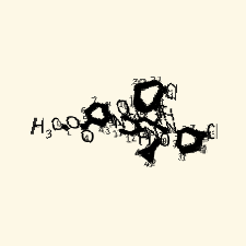 CCOC(=O)c1cccc(N2CC[C@@H]3[C@@H](C2=O)[C@H](c2cccc(Cl)c2F)[C@](I)(C(=O)Nc2cccc(Cl)c2)N3CC2CC2)c1